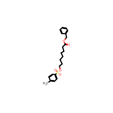 Cc1ccc(S(=O)(=O)OCCCCCCCC(=O)OCc2ccccc2)cc1